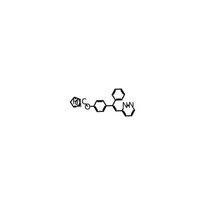 C1CC2CC1O2.COc1ccc(C(=Cc2cccnn2)c2ccccc2)cc1